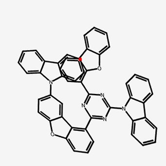 c1ccc2c(c1)oc1c(-c3nc(-c4cccc5oc6ccc(-n7c8ccccc8c8ccccc87)cc6c45)nc(-n4c5ccccc5c5ccccc54)n3)cccc12